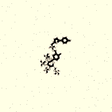 Cc1ccc([C@]2(O)O[C@H](CO[Si](C)(C)C)[C@@H](O[Si](C)(C)C)[C@H](O[Si](C)(C)C)[C@H]2O[Si](C)(C)C)cc1CO[Si](C)(C)Cc1ccc(-c2ccc(F)cc2)s1